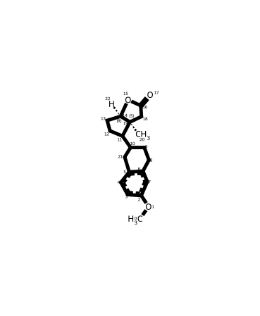 COc1ccc2c(c1)CCC(C1CC[C@H]3OC(=O)C[C@@]13C)C2